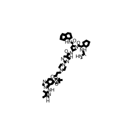 CN[C@@H](C)CN[C@H](C(=O)N1C[C@@H](NC(=O)c2cnc(N3CCN(CCCOc4cc5ncnc(Nc6n[nH]c(C)c6C)c5cc4S(=O)(=O)C(C)(C)C)CC3)nc2)C[C@H]1C(=O)N[C@@H]1CCCc2ccccc21)C1CCCCC1